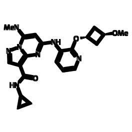 CNc1cc(Nc2cccnc2O[C@H]2C[C@H](OC)C2)nc2c(C(=O)NC3CC3)cnn12